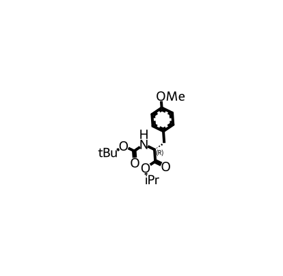 COc1ccc(C[C@@H](NC(=O)OC(C)(C)C)C(=O)OC(C)C)cc1